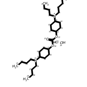 CCCCN(CCCC)C1CCC(OC(=O)OC2CCC(N(CCCC)CCCC)CC2)CC1.Cl.Cl